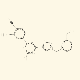 COCc1cccc(Cn2cc(-c3cc(-c4ccc(C#N)c(C)c4)nc(N)n3)nn2)n1